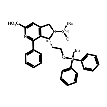 CC(C)(C)[S@@+]([O-])N1Cc2cc(C(=O)O)nc(-c3ccccc3)c2[C@H]1CCO[Si](c1ccccc1)(c1ccccc1)C(C)(C)C